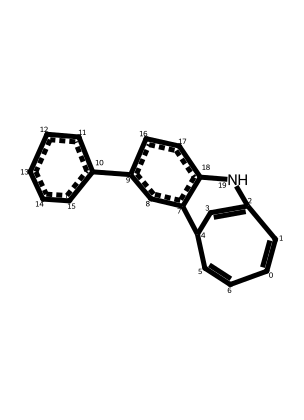 C1=CC2=CC(C=C1)c1cc(-c3ccccc3)ccc1N2